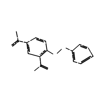 O=C(O)c1ccc(OOc2ccccc2)c(C(=O)O)c1